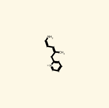 C/C(=C/C=C\N)Cc1ccccn1